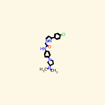 CN(C)C1CCN(c2ccc(NC(=O)Cn3ccc(-c4ccc(Cl)cc4)n3)cc2)C1